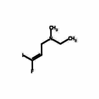 CCN(C)C/C=C(/F)I